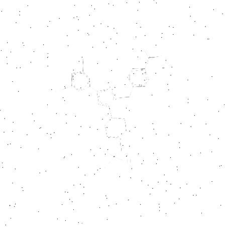 CC(C)(C)CN1CCC(c2cc(-c3cc(Cl)cc(Cl)c3)nn2Cc2ccc(C(=O)O)cc2)CC1